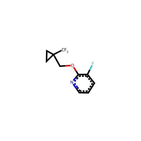 Fc1cccnc1OCC1(C(F)(F)F)CC1